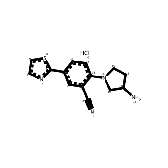 Cl.N#Cc1cc(-c2nccs2)ccc1N1CCC(N)C1